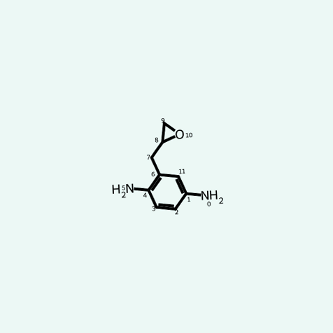 Nc1ccc(N)c(CC2CO2)c1